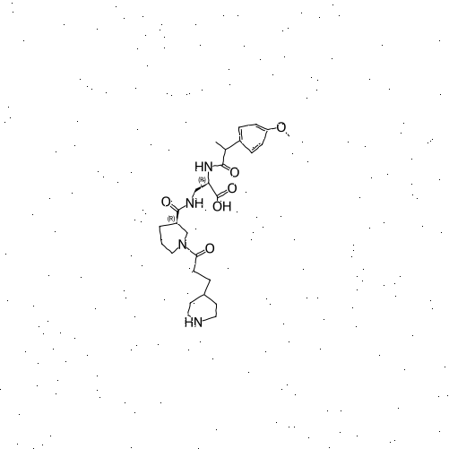 COc1ccc(C(C)C(=O)N[C@H](CNC(=O)[C@@H]2CCCN(C(=O)CCC3CCNCC3)C2)C(=O)O)cc1